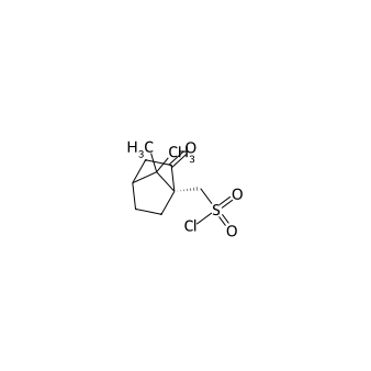 CC1(C)C2CC[C@]1(CS(=O)(=O)Cl)C(=O)C2